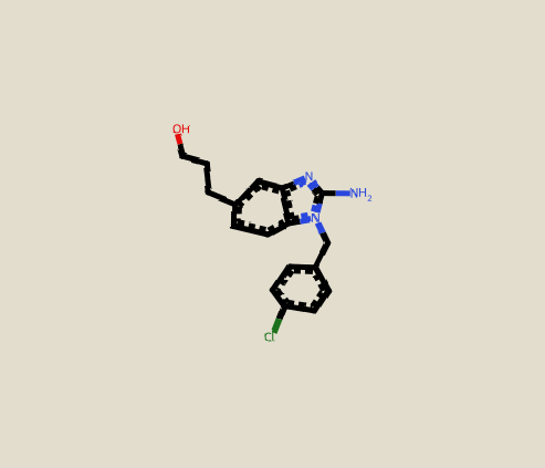 Nc1nc2cc(CCCO)ccc2n1Cc1ccc(Cl)cc1